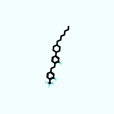 CCCCCCCC1CCC(c2ccc(CCc3ccc(C(F)(F)F)c(F)c3)c(F)c2)CC1